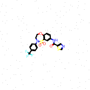 O=C(Nc1ccc2c(c1)S(=O)(=O)N(c1ccc(C(F)(F)F)cc1)CCO2)c1cncs1